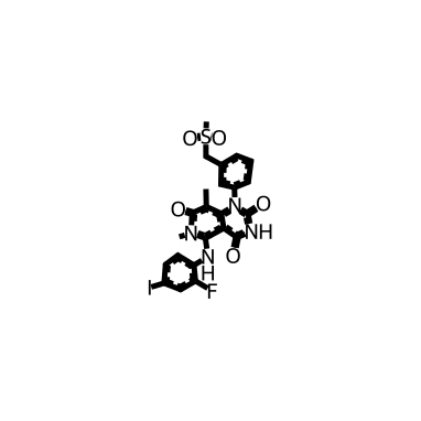 Cc1c(=O)n(C)c(Nc2ccc(I)cc2F)c2c(=O)[nH]c(=O)n(-c3cccc(CS(C)(=O)=O)c3)c12